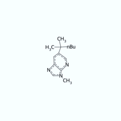 CCCCC(C)(C)c1cnc2c(c1)ncn2C